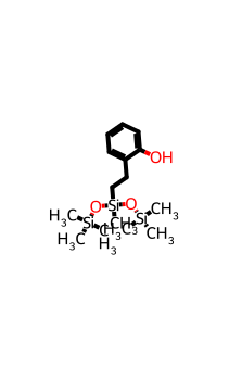 C[Si](C)(C)O[Si](C)(CCc1ccccc1O)O[Si](C)(C)C